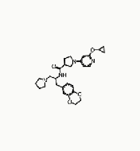 O=C(NC(Cc1ccc2c(c1)OCCO2)CN1CCCC1)C1CCN(c2ccnc(OC3CC3)c2)C1